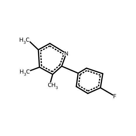 Cc1cnc(-c2ccc(F)cc2)c(C)c1C